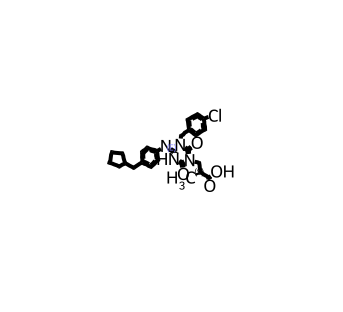 C[C@@H](Cn1c(=O)[nH]/c(=N\c2ccc(CC3CCCC3)cc2)n(Cc2ccc(Cl)cc2)c1=O)C(=O)O